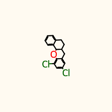 Clc1cc(Cl)c2c(c1)CC1CCc3ccccc3C1O2